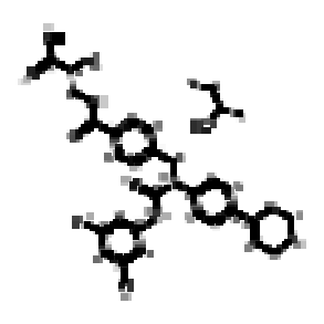 CCC(C)O.O=C(NCC(O)C(=O)O)c1ccc(CN(C(=O)Nc2cc(Cl)cc(Cl)c2)c2ccc(C3=CCCCC3)cc2)cc1